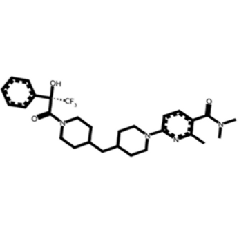 Cc1nc(N2CCC(CC3CCN(C(=O)[C@](O)(c4ccccc4)C(F)(F)F)CC3)CC2)ccc1C(=O)N(C)C